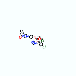 CC(=O)N1CCN(c2ccc(OC[C@@]3(C)OC[C@](Cn4ccnc4)(c4ccc(Cl)cc4Cl)O3)cc2)CC1